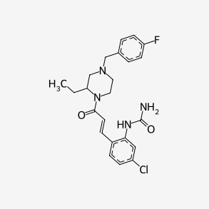 CCC1CN(Cc2ccc(F)cc2)CCN1C(=O)C=Cc1ccc(Cl)cc1NC(N)=O